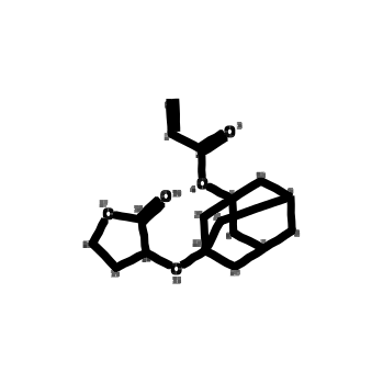 C=CC(=O)OC12CC3CC(C1)CC(OC1CCOC1=O)(C3)C2